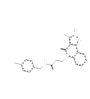 Cc1[nH]nc2c1c(=O)n(CCC(=O)NCc1ccc(Cl)cc1)c1ccccc21